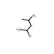 CCC(N)CC(C)C(F)(F)F